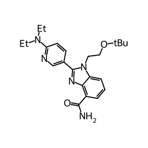 CCN(CC)c1ccc(-c2nc3c(C(N)=O)cccc3n2CCOC(C)(C)C)cn1